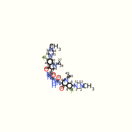 CN1CCN(c2cc3c(cc2F)c(=O)c(NC(=O)Nc2nnc(-c4cn(C5CC5)c5cc(N6CCN(C)CC6)c(F)cc5c4=O)o2)cn3C2CC2)CC1